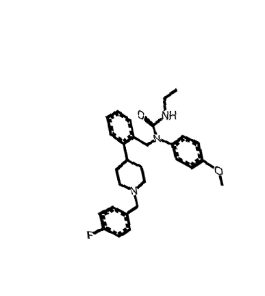 CCNC(=O)N(Cc1ccccc1C1CCN(Cc2ccc(F)cc2)CC1)c1ccc(OC)cc1